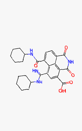 N=C(NC1CCCCC1)c1cc(C(=O)O)c2c3c(ccc(C(=O)NC4CCCCC4)c13)C(=O)NC2=O